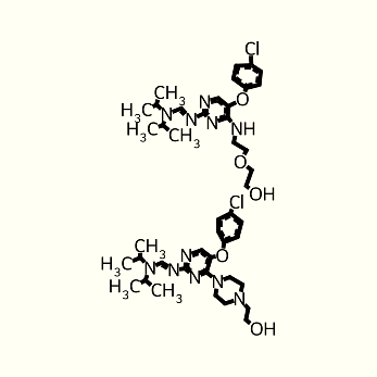 CC(C)N(C=Nc1ncc(Oc2ccc(Cl)cc2)c(N2CCN(CCO)CC2)n1)C(C)C.CC(C)N(C=Nc1ncc(Oc2ccc(Cl)cc2)c(NCCOCCO)n1)C(C)C